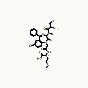 CSCC[C@H](NC(=O)CN1C(=O)C(N(C)C(=O)C(N)CS)N=C(c2ccccc2)c2cc(Cl)ccc21)C(=O)O